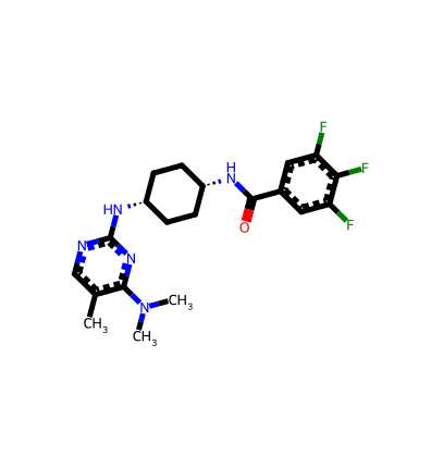 Cc1cnc(N[C@H]2CC[C@@H](NC(=O)c3cc(F)c(F)c(F)c3)CC2)nc1N(C)C